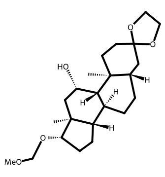 COCO[C@H]1CC[C@H]2[C@@H]3CC[C@H]4CC5(CC[C@]4(C)[C@H]3[C@@H](O)C[C@]12C)OCCO5